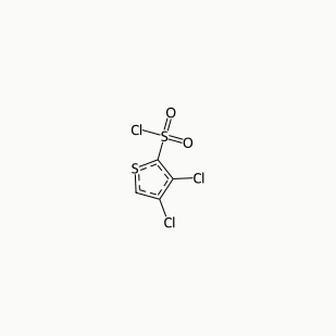 O=S(=O)(Cl)c1scc(Cl)c1Cl